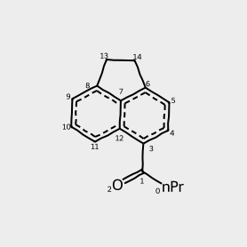 CCCC(=O)c1ccc2c3c(cccc13)CC2